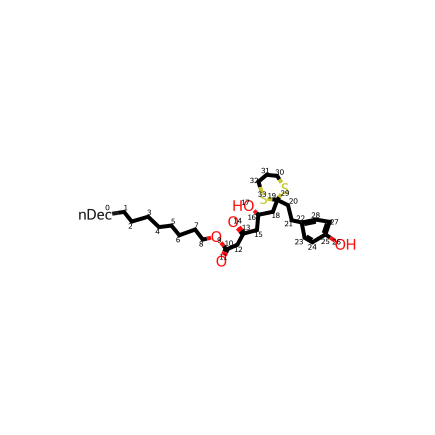 CCCCCCCCCCCCCCCCCCOC(=O)CC(=O)CC(O)CC1(CCc2ccc(O)cc2)SCCCS1